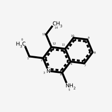 CCc1nc(N)c2ccccc2c1CC